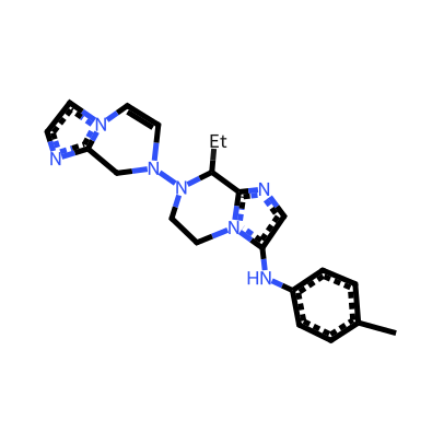 CCC1c2ncc(Nc3ccc(C)cc3)n2CCN1N1C=Cn2ccnc2C1